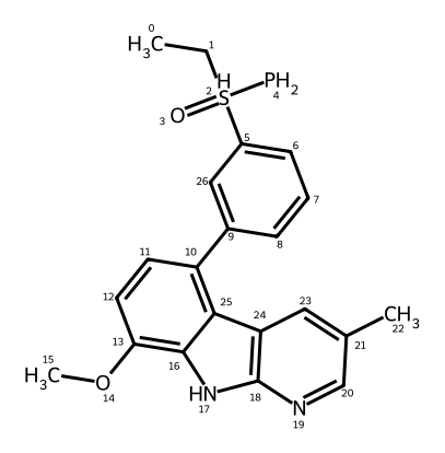 CC[SH](=O)(P)c1cccc(-c2ccc(OC)c3[nH]c4ncc(C)cc4c23)c1